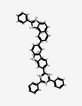 c1ccc(-c2nc(-c3ccccc3)nc(-c3ccc4c(c3)oc3ccc(-c5ccc6ccc7nc(-c8ccccc8)sc7c6c5)cc34)n2)cc1